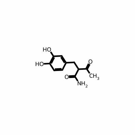 CC(=O)C(Cc1ccc(O)c(O)c1)C(N)=O